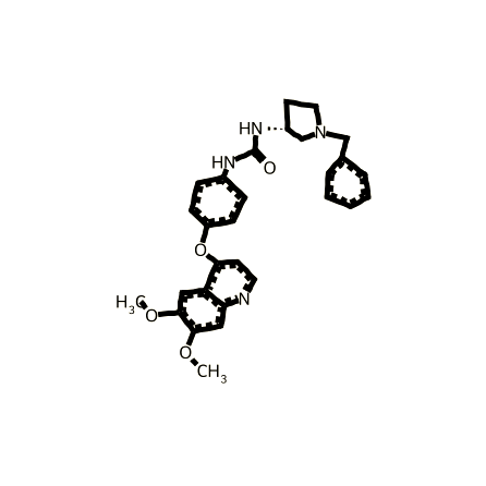 COc1cc2nccc(Oc3ccc(NC(=O)N[C@@H]4CCN(Cc5ccccc5)C4)cc3)c2cc1OC